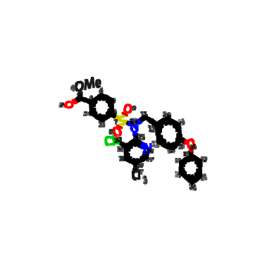 COC(=O)c1ccc(S(=O)(=O)N(Cc2ccc(Oc3ccccc3)cc2)c2ncc(C(F)(F)F)cc2Cl)cc1